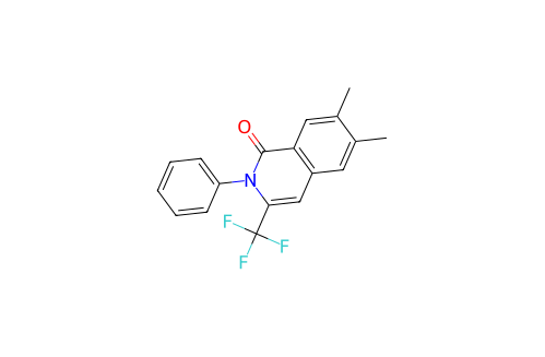 Cc1cc2cc(C(F)(F)F)n(-c3ccccc3)c(=O)c2cc1C